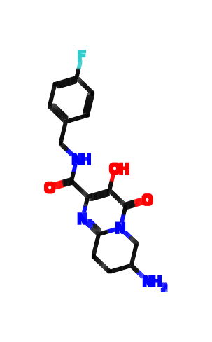 NC1CCc2nc(C(=O)NCc3ccc(F)cc3)c(O)c(=O)n2C1